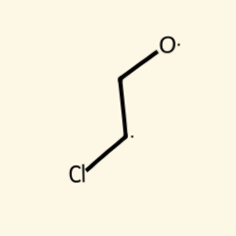 [O]C[CH]Cl